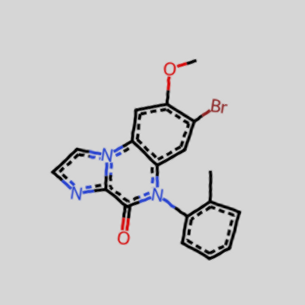 COc1cc2c(cc1Br)n(-c1ccccc1C)c(=O)c1nccn12